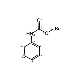 CC(C)(C)OC(=O)NC1=CC=CSC1